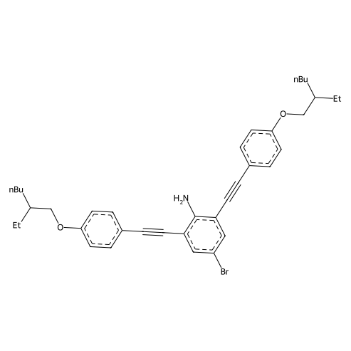 CCCCC(CC)COc1ccc(C#Cc2cc(Br)cc(C#Cc3ccc(OCC(CC)CCCC)cc3)c2N)cc1